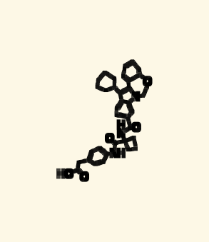 O=C(O)Cc1ccc(NC(=O)C2(NC(=O)c3ccc4c(C5CCCCC5)c5n(c4c3)CCOc3ccccc3-5)CCC2)cc1